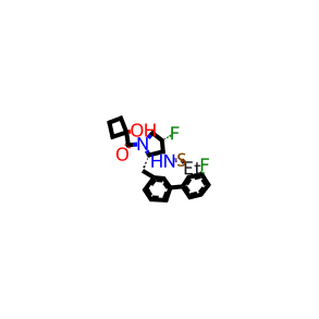 CCSN[C@H]1[C@@H](F)CN(C(=O)C2(O)CCC2)[C@H]1Cc1cccc(-c2cccc(F)c2)c1